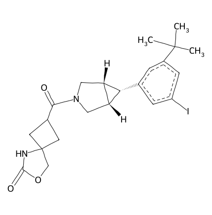 CC(C)(C)c1cc(I)cc([C@@H]2[C@@H]3CN(C(=O)C4CC5(COC(=O)N5)C4)C[C@@H]32)c1